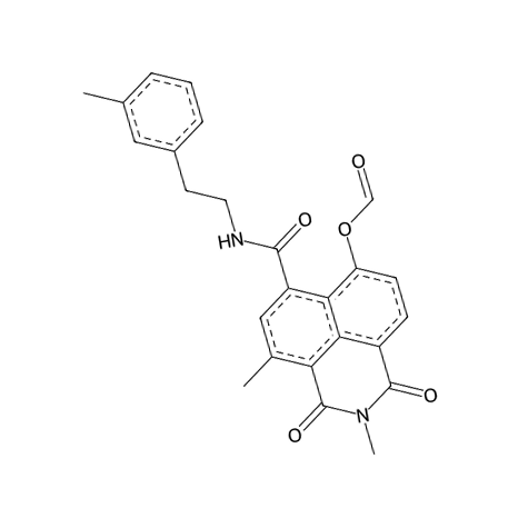 Cc1cccc(CCNC(=O)c2cc(C)c3c4c(ccc(OC=O)c24)C(=O)N(C)C3=O)c1